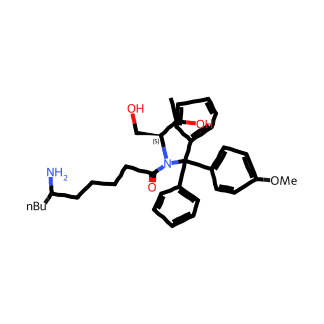 CCCCC(N)CCCCC(=O)N([C@@H](CO)C(C)O)C(c1ccccc1)(c1ccccc1)c1ccc(OC)cc1